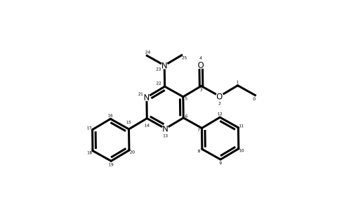 CCOC(=O)c1c(-c2ccccc2)nc(-c2ccccc2)nc1N(C)C